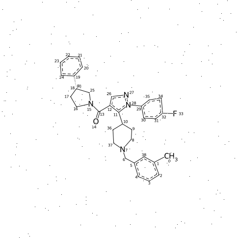 Cc1cccc(CN2CCC(c3c(C(=O)N4CC[C@H](c5ccccc5)C4)cnn3-c3ccc(F)cc3)CC2)c1